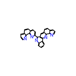 c1cnc2c(c1)ccc1ccc(-c3nc4ccccc4c4nc5c(ccc6cccnc65)cc34)nc12